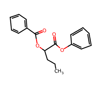 CCCC(OC(=O)c1ccccc1)C(=O)Oc1ccccc1